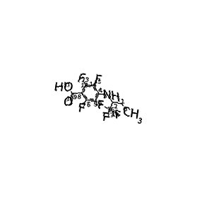 CCC(Nc1cc(F)c(C(=O)O)c(F)c1F)C(F)(F)F